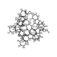 CC1=CC2=C(CC1)c1ccc(C(F)(F)F)cc1C2c1c(CC2c3ccccc3-c3ccccc32)c(-n2c3ccccc3c3ccccc32)c(-c2nc(-c3ccccc3)nc(-c3ccccc3)n2)c(-n2c3ccccc3c3ccccc32)c1-n1c2ccccc2c2ccccc21